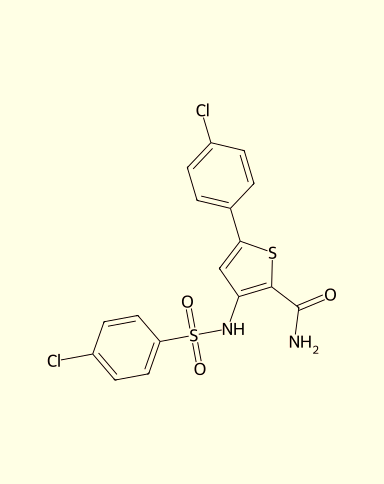 NC(=O)c1sc(-c2ccc(Cl)cc2)cc1NS(=O)(=O)c1ccc(Cl)cc1